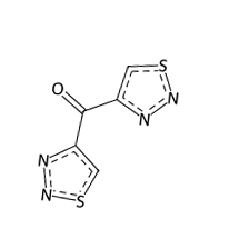 O=C(c1csnn1)c1csnn1